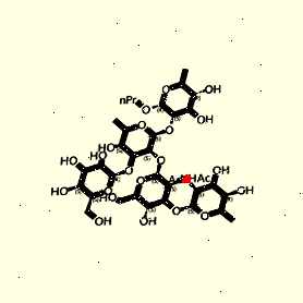 CCCO[C@@H]1OC(C)[C@H](O)C(O)[C@@H]1O[C@@H]1OC(C)[C@H](O)C(O[C@H]2O[C@@H](CO)[C@@H](O)C(O)C2O)[C@@H]1O[C@@H]1OC(CO)[C@@H](O)C(O[C@@H]2OC(C)[C@H](O)C(O)[C@@H]2OC(C)=O)[C@@H]1NC(C)=O